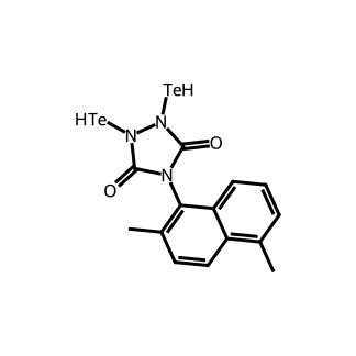 Cc1ccc2c(C)cccc2c1-n1c(=O)n([TeH])n([TeH])c1=O